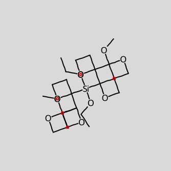 CCO[Si](OCC)(C1(C2(C3(OC)CCO3)CCO2)CCO1)C1(C2(C3(OC)CCO3)CCO2)CCO1